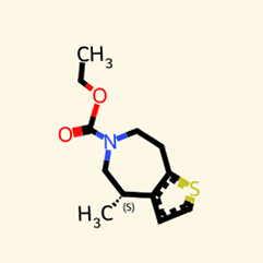 CCOC(=O)N1CCc2sccc2[C@H](C)C1